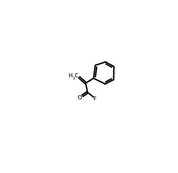 C=C(C(=O)F)c1ccccc1